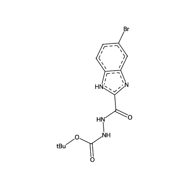 CC(C)(C)OC(=O)NNC(=O)c1nc2cc(Br)ccc2[nH]1